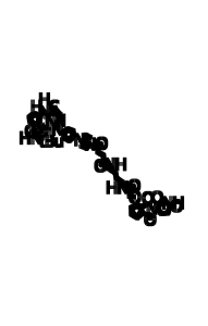 Cc1cnc(Nc2ccc(N3CCN(C(=O)CCC(=O)NCCCCNC(=O)COc4cccc5c4C(=O)N(C4CCC(=O)NC4=O)C5=O)CC3)cc2)nc1Nc1cccc(S(=O)(=O)NC(C)(C)C)c1